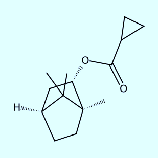 CC1(C)[C@H]2CC[C@]1(C)[C@@H](OC(=O)C1CC1)C2